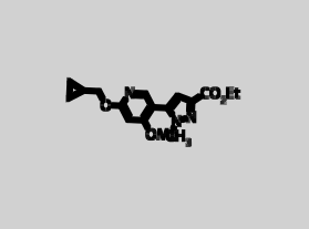 CCOC(=O)c1cc(-c2cnc(OCC3CC3)cc2OC)n(C)n1